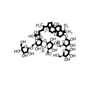 CC(CCC(O[C@@H]1O[C@H](CO[C@@H]2O[C@H](CO)[C@@H](O)[C@H](O)[C@H]2O)[C@@H](O)[C@H](O)[C@H]1O[C@@H]1O[C@H](CO)[C@@H](O)[C@H](O)[C@H]1O)C(C)(C)O)C1CCC2(C)C3CC=C4C(CC[C@H](O[C@@H]5O[C@H](CO)C([C@@H]6O[C@H](CO)[C@@H](O)[C@H](O)[C@H]6O)[C@H](O)[C@H]5O)C4(C)C)C3(C)CCC12C